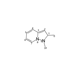 CC1C=C2C=CC=CN2N1C